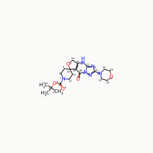 CC(C)(C)OC(=O)N1CCC2(CC1)OCc1[nH]c3nc(N4CCOCC4)nn3c(=O)c12